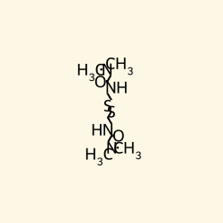 CN(C)CC(=O)NCCSSCCNC(=O)CN(C)C